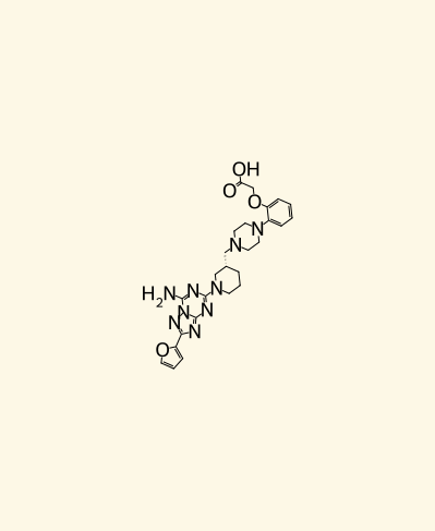 Nc1nc(N2CCC[C@@H](CN3CCN(c4ccccc4OCC(=O)O)CC3)C2)nc2nc(-c3ccco3)nn12